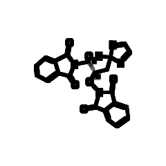 O=C1c2ccccc2C(=O)N1C[C@H](CC1([N+](=O)[O-])N=CC=N1)ON1C(=O)c2ccccc2C1=O